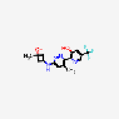 Cc1cc(NC2CC(C)(O)C2)nnc1-c1ncc(C(F)(F)F)cc1O